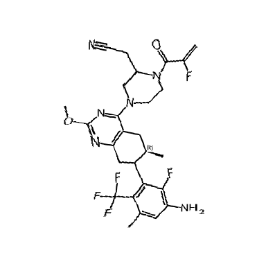 C=C(F)C(=O)N1CCN(c2nc(OC)nc3c2C[C@@H](C)C(c2c(F)c(N)cc(C)c2C(F)(F)F)C3)CC1CC#N